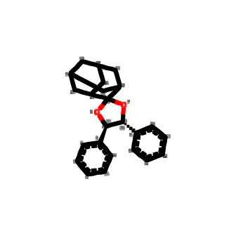 c1ccc([C@H]2OC3(O[C@@H]2c2ccccc2)C2CC4CC(C2)CC3C4)cc1